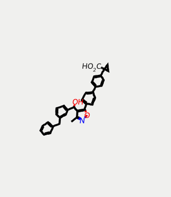 Cc1noc(-c2ccc(-c3ccc(C4(C(=O)O)CC4)cc3)cc2)c1C(O)c1cccc(Cc2ccccc2)c1